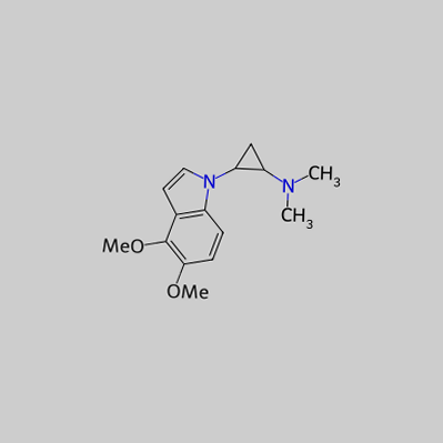 COc1ccc2c(ccn2C2CC2N(C)C)c1OC